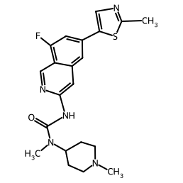 Cc1ncc(-c2cc(F)c3cnc(NC(=O)N(C)C4CCN(C)CC4)cc3c2)s1